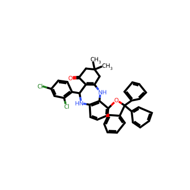 CC1(C)CC(=O)C2=C(C1)Nc1c(cccc1OC(c1ccccc1)(c1ccccc1)c1ccccc1)NC2c1ccc(Cl)cc1Cl